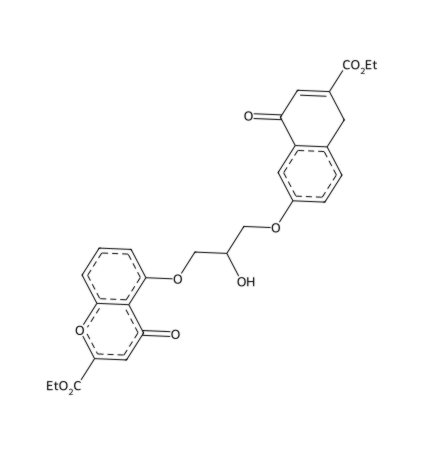 CCOC(=O)C1=CC(=O)c2cc(OCC(O)COc3cccc4oc(C(=O)OCC)cc(=O)c34)ccc2C1